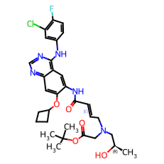 C[C@@H](O)CN(C/C=C/C(=O)Nc1cc2c(Nc3ccc(F)c(Cl)c3)ncnc2cc1OC1CCC1)CC(=O)OC(C)(C)C